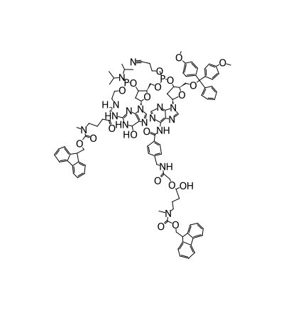 COc1ccc(C(OC[C@H]2O[C@@H](n3cnc4c(NC(=O)c5ccc(CNC(=O)COC(O)CCCN(C)C(=O)OCC6c7ccccc7-c7ccccc76)cc5)ncnc43)CC2OP(OCCC#N)OC[C@H]2O[C@@H](n3cnc4c3N=C(NC(=O)CCCN(C)C(=O)OCC3c5ccccc5-c5ccccc53)NC4O)CC2OP(OCCN)N(C(C)C)C(C)C)(c2ccccc2)c2ccc(OC)cc2)cc1